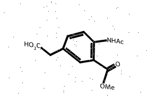 COC(=O)c1cc(CC(=O)O)ccc1NC(C)=O